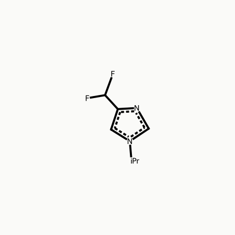 CC(C)n1cnc(C(F)F)c1